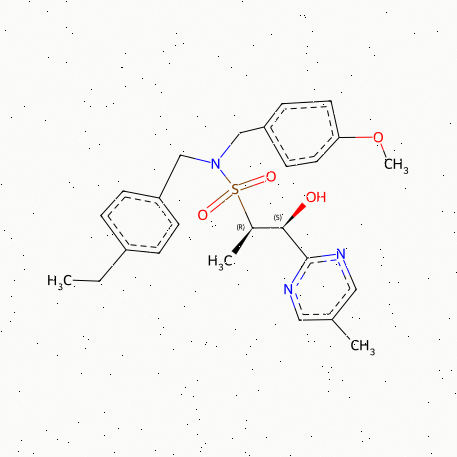 CCc1ccc(CN(Cc2ccc(OC)cc2)S(=O)(=O)[C@H](C)[C@@H](O)c2ncc(C)cn2)cc1